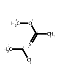 CCCl.COC(C)=S